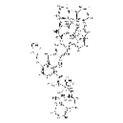 CCCCc1nc2ccc([C@@]3(C)C[C@@H]4c5ccccc5CCN4O3)cc2c(=O)n1Cc1ccc(-c2ccccc2-c2nnnn2C(c2ccccc2)(c2ccccc2)c2ccccc2)cc1